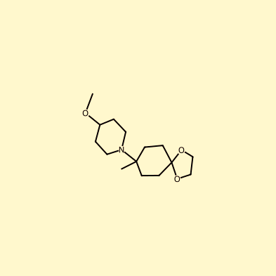 COC1CCN(C2(C)CCC3(CC2)OCCO3)CC1